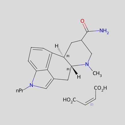 CCCn1cc2c3c(cccc31)[C@H]1CC(C(N)=O)CN(C)[C@@H]1C2.O=C(O)/C=C\C(=O)O